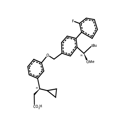 CO[C@@H](c1cc(COc2cccc([C@H](CC(=O)O)C3CC3)c2)ccc1-c1ccccc1F)C(C)(C)C